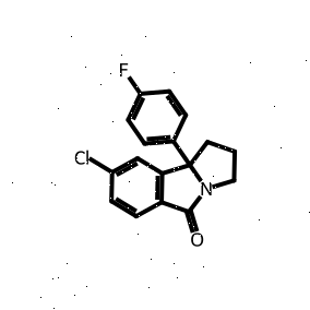 O=C1c2ccc(Cl)cc2C2(c3ccc(F)cc3)CCCN12